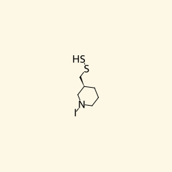 SSC[C@H]1CCCN(I)C1